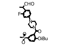 CC(C)COc1ccc(S(C)(=O)=O)cc1C(=O)N1CCN(c2ccc(C(C)C=O)c(F)c2)CC1